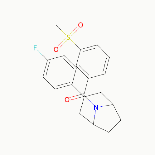 CS(=O)(=O)c1cccc(C(=O)N2C3CCC2CC(c2ccc(F)cc2)C3)c1